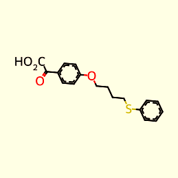 O=C(O)C(=O)c1ccc(OCCCCSc2ccccc2)cc1